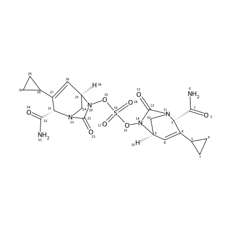 NC(=O)[C@@H]1C(C2CC2)=C[C@@H]2CN1C(=O)N2OS(=O)(=O)ON1C(=O)N2C[C@H]1C=C(C1CC1)[C@H]2C(N)=O